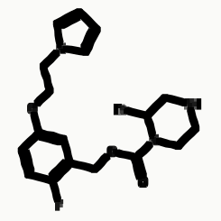 CCC1CNCCN1C(=O)OCc1cc(OCCn2cccc2)ccc1F